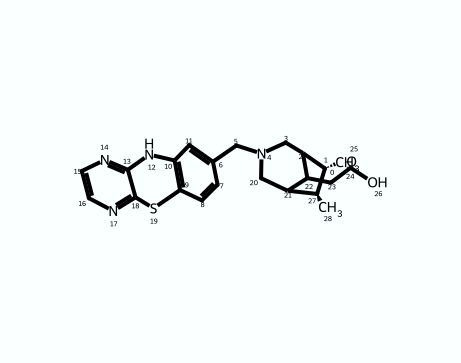 C[C@H]1C2CN(Cc3ccc4c(c3)Nc3nccnc3S4)CC(C2CC(=O)O)[C@@H]1C